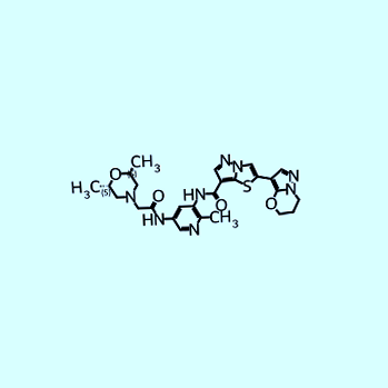 Cc1ncc(NC(=O)CN2C[C@H](C)O[C@@H](C)C2)cc1NC(=O)c1cnn2cc(-c3cnn4c3OCCC4)sc12